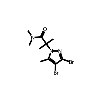 Cc1c(Br)c(Br)nn1C(C)(C)C(=O)N(C)C